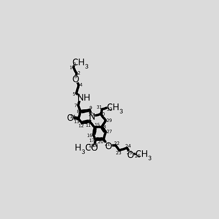 CCCOCCNCc1cn2c(cc1=O)-c1cc(OC)c(OCCCOC)cc1CC2CC